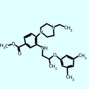 CCN1CCN(c2ccc(C(=O)OC)cc2NCC(C)Oc2cc(C)cc(C)c2)CC1